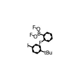 CC(C)(C)c1ccc(I)cc1.FOB(OF)c1ccccc1F